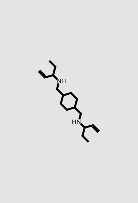 C=CC(CC)NCC1CCC(CNC(C=C)CC)CC1